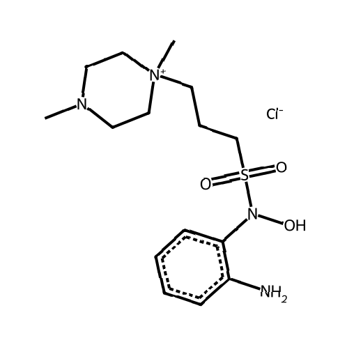 CN1CC[N+](C)(CCCS(=O)(=O)N(O)c2ccccc2N)CC1.[Cl-]